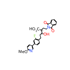 COc1ccc(-c2ccc(CC[C@@H](O)[C@H](CCN3C(=O)c4ccccc4C3=O)C(=O)O)c(F)c2)cn1